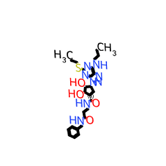 CCCCNc1nc(SCCC)nc2c1nnn2C1C[C@H](C(=O)NCCC(=O)NCc2ccccc2)C(O)C1O